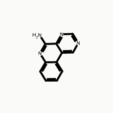 Nc1nc2cc[c]cc2c2cncnc12